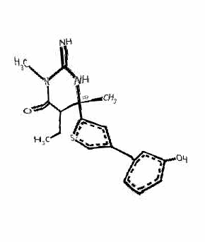 CCC1C(=O)N(C)C(=N)N[C@]1(C)c1cc(-c2cccc(O)c2)cs1